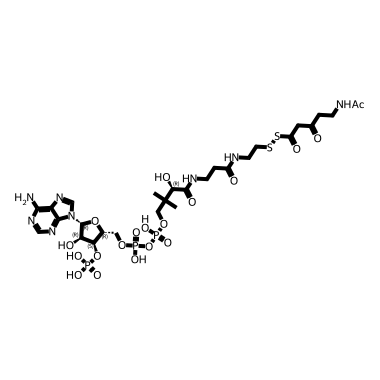 CC(=O)NCCC(=O)CC(=O)SSCCNC(=O)CCNC(=O)[C@H](O)C(C)(C)COP(=O)(O)OP(=O)(O)OC[C@H]1O[C@@H](n2cnc3c(N)ncnc32)[C@H](O)[C@@H]1OP(=O)(O)O